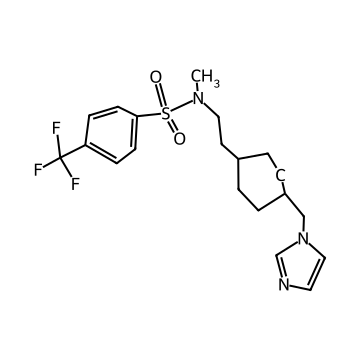 CN(CCC1CCC(Cn2ccnc2)CC1)S(=O)(=O)c1ccc(C(F)(F)F)cc1